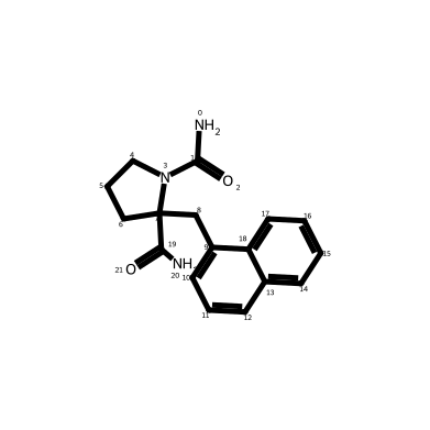 NC(=O)N1CCCC1(Cc1cccc2ccccc12)C(N)=O